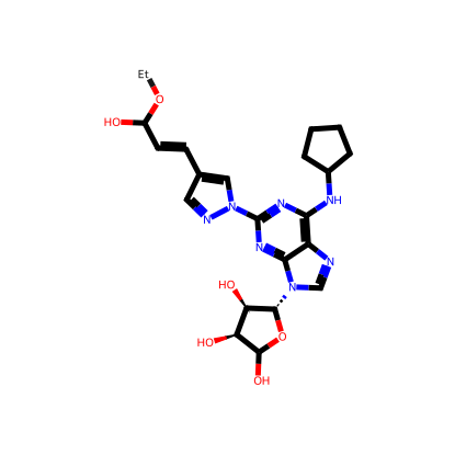 CCOC(O)/C=C/c1cnn(-c2nc(NC3CCCC3)c3ncn([C@@H]4OC(O)[C@@H](O)[C@H]4O)c3n2)c1